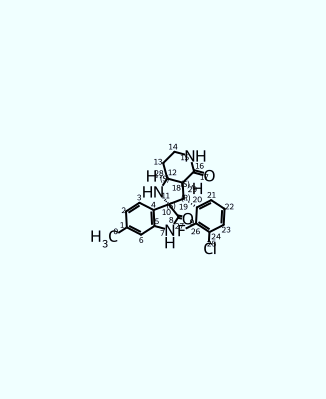 Cc1ccc2c(c1)NC(=O)[C@@]21N[C@H]2CCNC(=O)[C@H]2[C@@H]1c1cccc(Cl)c1F